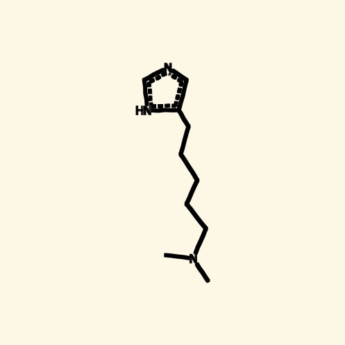 CN(C)CCCCCc1cnc[nH]1